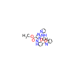 CCOC(=O)c1cnc(Nc2ccccn2)nc1Nc1cccc(-c2nc3ccccc3o2)c1OC